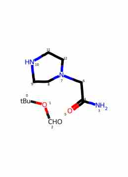 CC(C)(C)OC=O.NC(=O)CN1CCNCC1